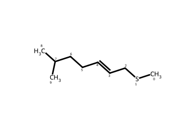 CSCC=CCCC(C)C